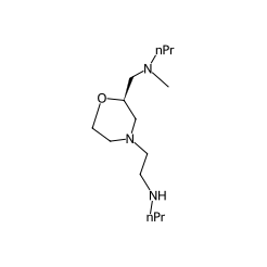 CCCNCCN1CCO[C@@H](CN(C)CCC)C1